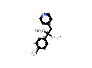 CCOC(=O)C(Cc1ccncc1)(C(=O)OCC)c1ccc([N+](=O)[O-])cc1